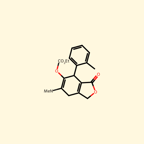 CCOC(=O)OC1=C(NC)CC2=C(C(=O)OC2)C1c1ccccc1C